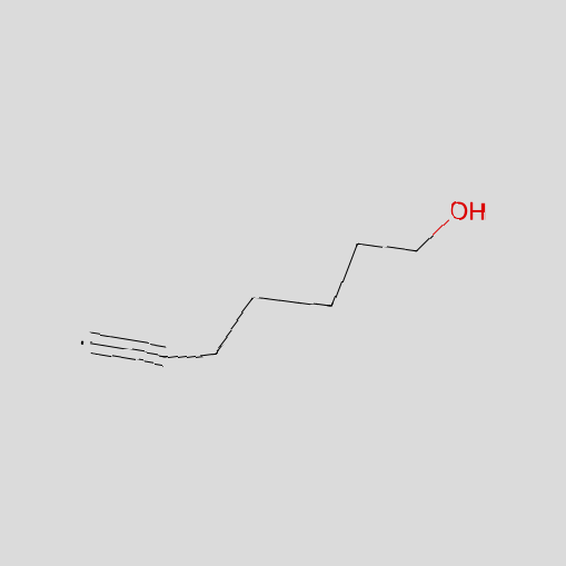 [C]#CCCCCCO